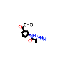 CC(N=[N+]=[N-])C(=O)Nc1cccc(C(=O)C=O)c1